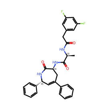 C[C@H](NC(=O)Cc1cc(F)cc(F)c1)C(=O)N[C@H]1CC(c2ccccc2)=C[C@H](c2ccccc2)NC1=O